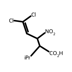 CC(C)C(C(=O)O)C(C=C(Cl)Cl)[N+](=O)[O-]